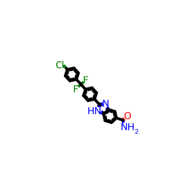 NC(=O)c1ccc2[nH]c(-c3ccc(C(F)(F)c4ccc(Cl)cc4)cc3)nc2c1